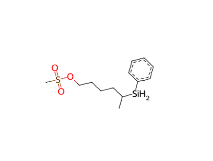 CC(CCCCOS(C)(=O)=O)[SiH2]c1ccccc1